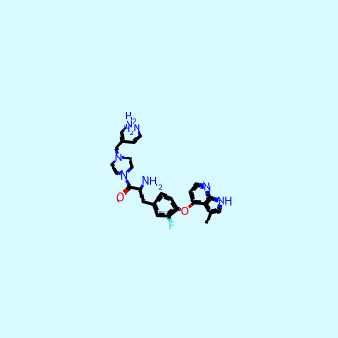 Cc1c[nH]c2nccc(Oc3ccc(CC(N)C(=O)N4CCN(CC(/C=C\N)=C/N)CC4)cc3F)c12